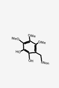 CCCCCCCCCCc1c(O)c(O)c(OC)c(OC)c1OC